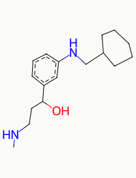 CNCCC(O)c1cccc(NCC2CCCCC2)c1